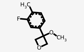 COC1(c2ccc(C)c(F)c2)COC1